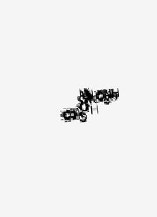 O=C(C1CCc2c(sc3ncnc(Nc4ccc5[nH]c(=O)sc5c4)c23)C1)N1Cc2ccccc2C1